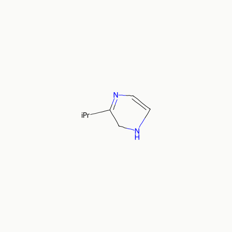 CC(C)C1=NC=CNC1